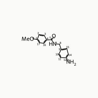 COc1ccc(C(=O)NCc2ccc(N)cc2)cc1